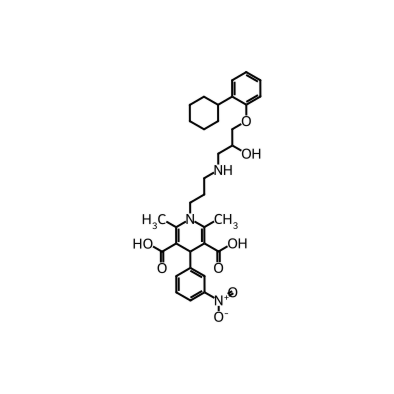 CC1=C(C(=O)O)C(c2cccc([N+](=O)[O-])c2)C(C(=O)O)=C(C)N1CCCNCC(O)COc1ccccc1C1CCCCC1